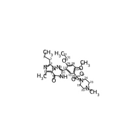 CCCc1nc(C)c2c(=O)[nH]c(-c3cc(S(=O)(=O)N4CCN(C)CC4)c(OC)cc3OCC)nn12